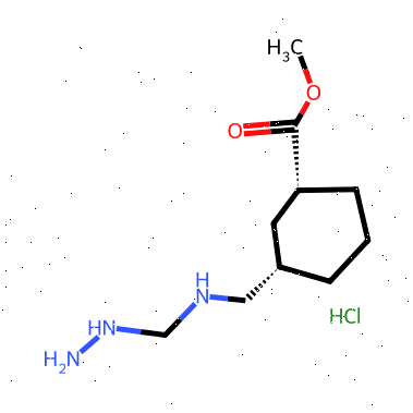 COC(=O)[C@@H]1CCC[C@H](CNCNN)C1.Cl